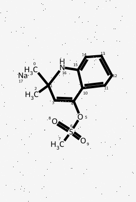 CC1(C)C=C(OS(C)(=O)=O)c2ccccc2N1.[Na]